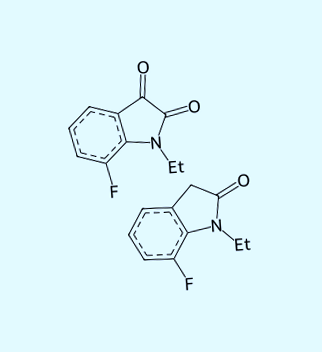 CCN1C(=O)C(=O)c2cccc(F)c21.CCN1C(=O)Cc2cccc(F)c21